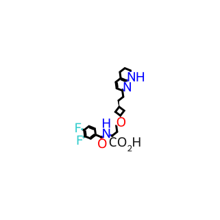 O=C(NC(CCO[C@H]1C[C@H](CCc2ccc3c(n2)NCCC3)C1)C(=O)O)c1ccc(F)c(F)c1